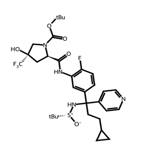 CC(C)(C)OC(=O)N1C[C@@](O)(C(F)(F)F)C[C@@H]1C(=O)Nc1cc(C(CCC2CC2)(N[S@+]([O-])C(C)(C)C)c2ccncc2)ccc1F